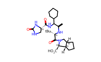 C=C(N[C@H](C(=O)N1C[C@@H]2CCC[C@@H]2[C@H]1C(=O)O)C(C)(C)C)C(NC(=O)[C@@H]1CNC(=O)N1)C1CCCCC1